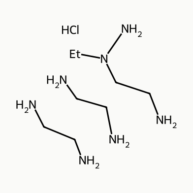 CCN(N)CCN.Cl.NCCN.NCCN